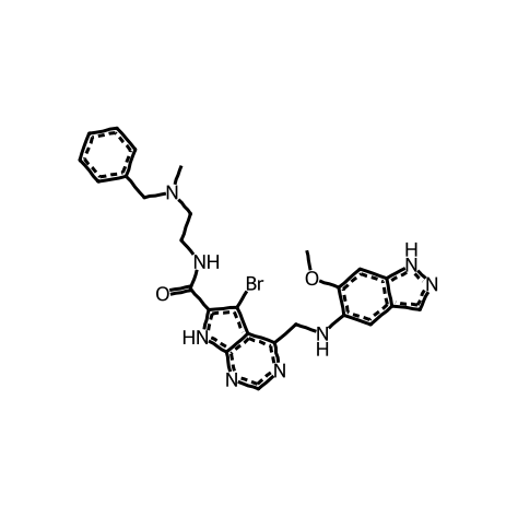 COc1cc2[nH]ncc2cc1NCc1ncnc2[nH]c(C(=O)NCCN(C)Cc3ccccc3)c(Br)c12